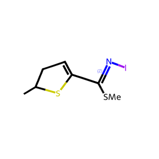 CS/C(=N\I)C1=CCC(C)S1